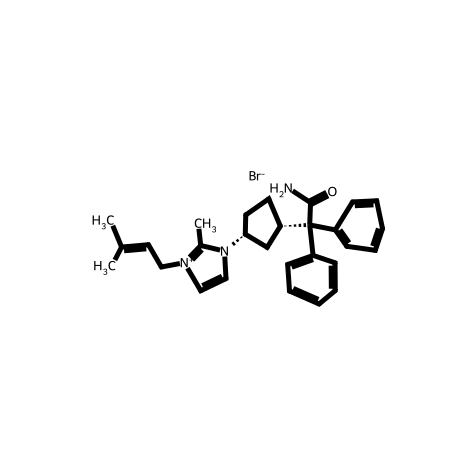 CC(C)=CC[n+]1ccn([C@@H]2CC[C@H](C(C(N)=O)(c3ccccc3)c3ccccc3)C2)c1C.[Br-]